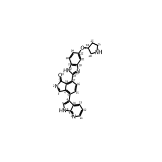 O=C1N=Cc2c(-c3c[nH]c4ncccc34)ccc(-c3nc4cc(OC5CCNC5)ccc4[nH]3)c21